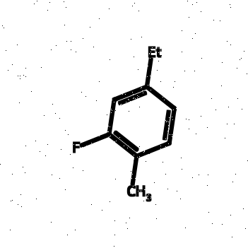 [CH2]Cc1ccc(C)c(F)c1